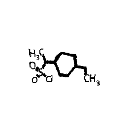 CCC1CCC(C(C)S(=O)(=O)Cl)CC1